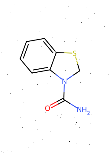 NC(=O)N1CSc2ccccc21